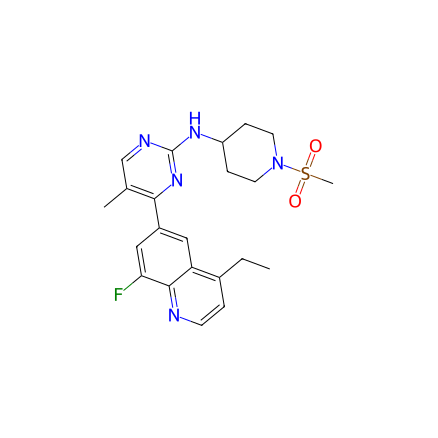 CCc1ccnc2c(F)cc(-c3nc(NC4CCN(S(C)(=O)=O)CC4)ncc3C)cc12